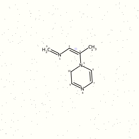 C=N/C=C(/C)N1C=CN=CC1